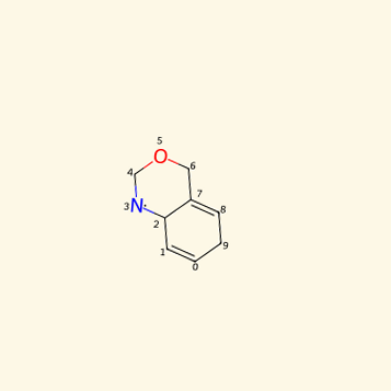 C1=CC2[N]COCC2=CC1